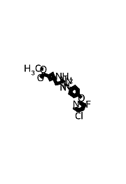 COC(=O)C1CC(N)(Cc2nnn(-c3ccc(Oc4ncc(Cl)cc4F)cc3)n2)C1